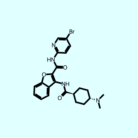 CN(C)[C@H]1CC[C@H](C(=O)Nc2c(C(=O)Nc3ccc(Br)cn3)oc3ccccc23)CC1